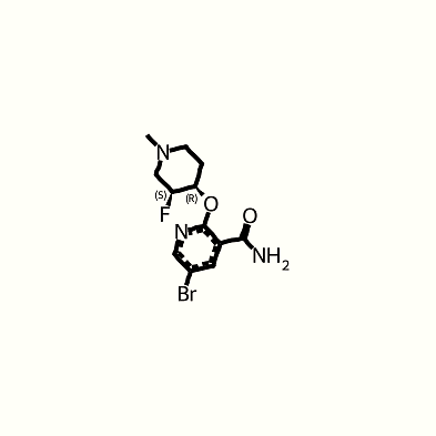 CN1CC[C@@H](Oc2ncc(Br)cc2C(N)=O)[C@@H](F)C1